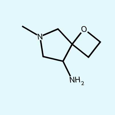 CN1CC(N)C2(CCO2)C1